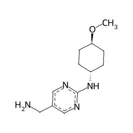 CO[C@H]1CC[C@H](Nc2ncc(CN)cn2)CC1